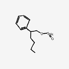 CCCCC(C[O][SnH]=[O])c1ccccc1